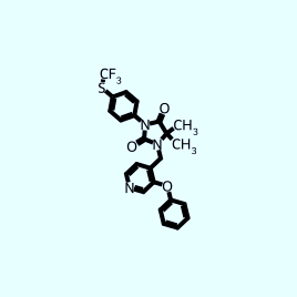 CC1(C)C(=O)N(c2ccc(SC(F)(F)F)cc2)C(=O)N1Cc1ccncc1Oc1ccccc1